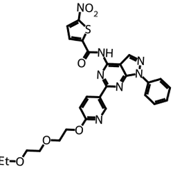 CCOCCOCCOc1ccc(-c2nc(NC(=O)c3ccc([N+](=O)[O-])s3)c3cnn(-c4ccccc4)c3n2)cn1